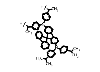 CC(C)c1ccc(N(c2ccc(C(C)C)cc2)c2ccc3c(c2)C2(c4ccccc4-c4ccccc42)c2cc(N(c4ccc(C(C)C)cc4)c4ccc(C(C)C)cc4)ccc2-3)cc1